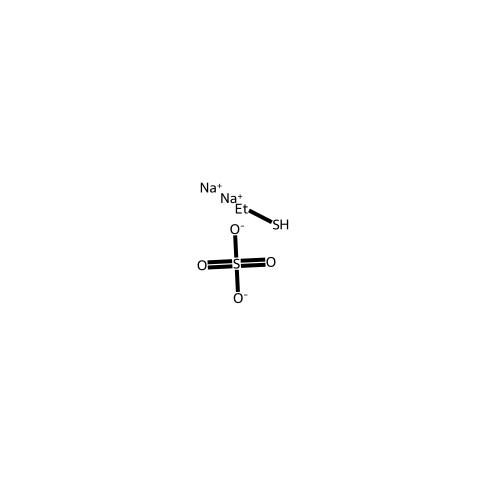 CCS.O=S(=O)([O-])[O-].[Na+].[Na+]